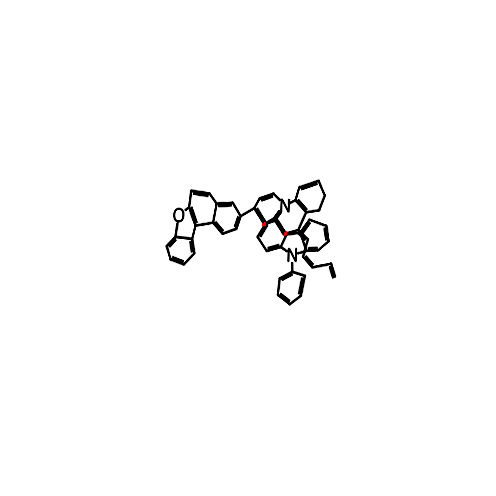 C=C/C=C\C=C(/C)C1=C(N(/C=C\C(=C/C=C)c2ccc3c(ccc4oc5ccccc5c43)c2)c2cccc3c2c2ccccc2n3-c2ccccc2)C=CCC1